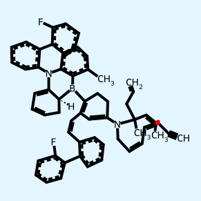 C#C/C=C\C=C/CN(C1=CC(/C=C\c2ccccc2-c2ccccc2F)=C(B2c3c(C)cccc3N(c3ccccc3-c3ccccc3F)C3=CC=CC[C@H]23)CC1)C(C)(/C=C\C)CC=C